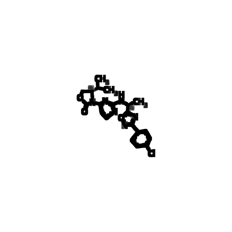 CC(C)[C@H]1COC(=O)N1c1ccnc(N[C@@H](C)c2nc(-c3ccc(Cl)cc3)no2)n1